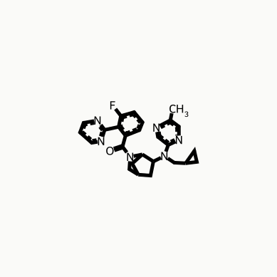 Cc1cnc(N(CC2CC2)C2CC3CC2N(C(=O)c2cccc(F)c2-c2ncccn2)C3)cn1